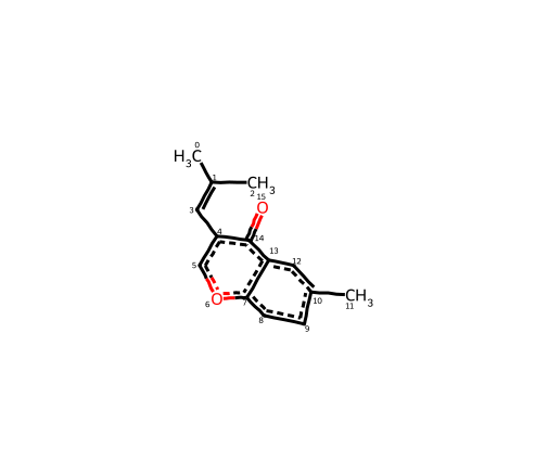 CC(C)=Cc1coc2ccc(C)cc2c1=O